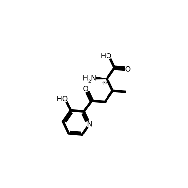 CC(CC(=O)c1ncccc1O)[C@@H](N)C(=O)O